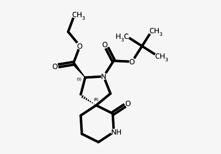 CCOC(=O)[C@@H]1C[C@]2(CCCNC2=O)CN1C(=O)OC(C)(C)C